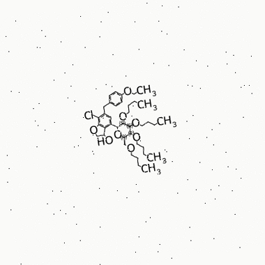 CCCCOC[C@H]1OC(c2cc(Cc3ccc(OCC)cc3)c(Cl)c3c2C(O)CO3)[C@H](OCCCC)[C@@H](OCCCC)[C@@H]1OCCCC